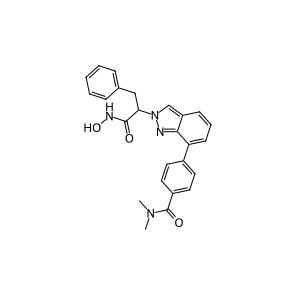 CN(C)C(=O)c1ccc(-c2cccc3cn(C(Cc4ccccc4)C(=O)NO)nc23)cc1